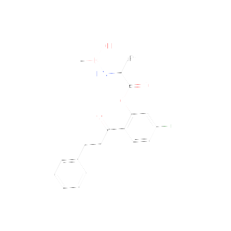 CB(O)NC(C(=O)Oc1cc(Cl)ccc1C(=O)CCc1ccccc1)C(C)C